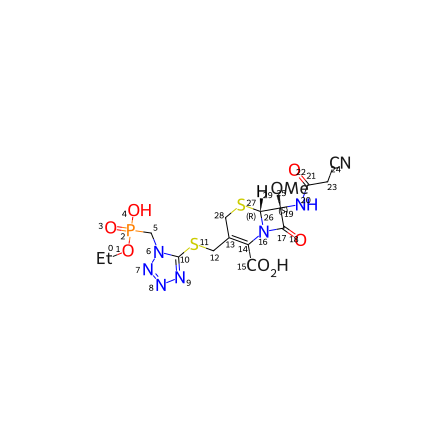 CCOP(=O)(O)Cn1nnnc1SCC1=C(C(=O)O)N2C(=O)[C@](NC(=O)CC#N)(OC)[C@H]2SC1